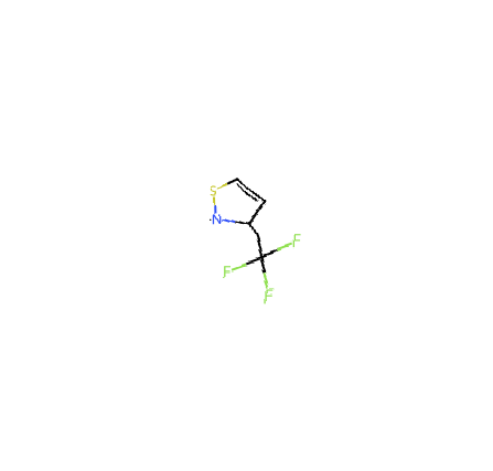 FC(F)(F)C1C=CS[N]1